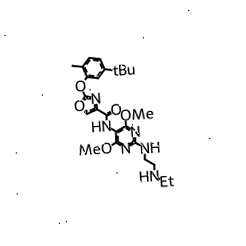 CCNCCNc1nc(OC)c(NC(=O)c2coc(Oc3cc(C(C)(C)C)ccc3C)n2)c(OC)n1